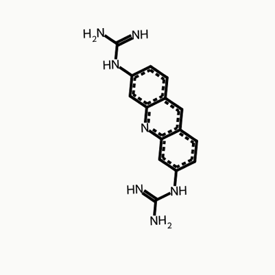 N=C(N)Nc1ccc2cc3ccc(NC(=N)N)cc3nc2c1